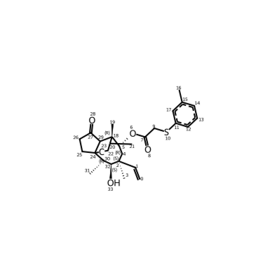 C=C[C@]1(C)C[C@@H](OC(=O)CSc2cccc(C)c2)[C@]2(C)C(C)CCC3(CCC(=O)C32)[C@@H](C)[C@@H]1O